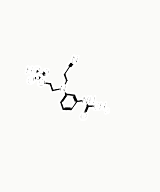 CC(=O)Nc1cccc(N(CCC#N)CCOS(=O)(=O)O)c1